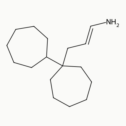 NC=CCC1(C2CCCCCC2)CCCCCC1